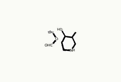 CC(C)(C)OC=O.CC1CNCCC1O